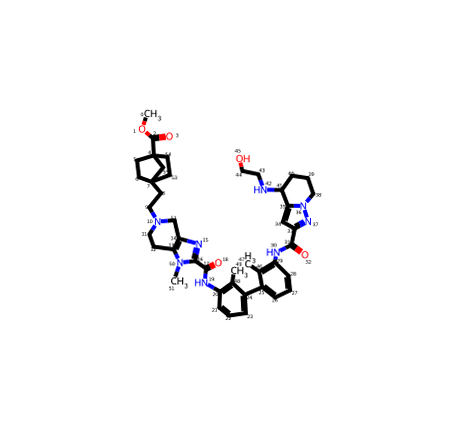 COC(=O)C12CCC(CCN3CCc4c(nc(C(=O)Nc5cccc(-c6cccc(NC(=O)c7cc8n(n7)CCCC8NCCO)c6C)c5C)n4C)C3)(CC1)C2